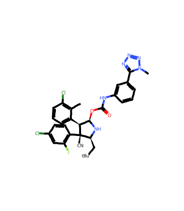 Cc1c(Cl)cccc1[C@H]1[C@@H](OC(=O)Nc2cccc(-c3nnnn3C)c2)N[C@@H](CC(C)(C)C)[C@]1(C#N)c1ccc(Cl)cc1F